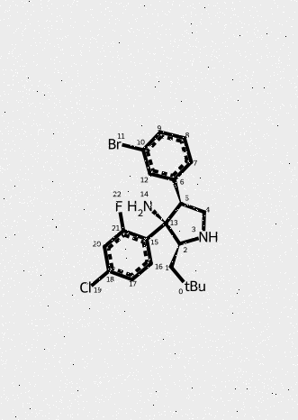 CC(C)(C)C[C@@H]1NC[C@H](c2cccc(Br)c2)[C@@]1(N)c1ccc(Cl)cc1F